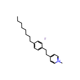 CCCCCCCCc1ccc(CCc2cc[n+](C)cc2)cc1.[I-]